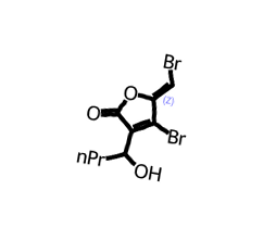 CCCC(O)C1=C(Br)/C(=C/Br)OC1=O